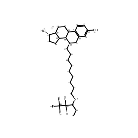 CCC(SCCCCCCCCC[C@@H]1Cc2cc(O)ccc2C2CC[C@@]3(C)C(CC[C@@H]3O)C21)C(F)(F)C(F)(F)F